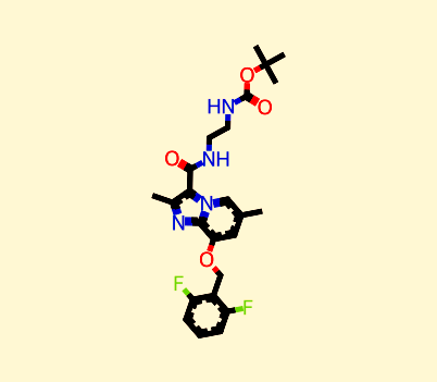 Cc1cc(OCc2c(F)cccc2F)c2nc(C)c(C(=O)NCCNC(=O)OC(C)(C)C)n2c1